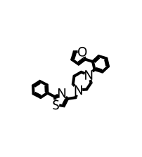 c1ccc(-c2nc(CN3CCCN(c4ccccc4-c4ccco4)CC3)cs2)cc1